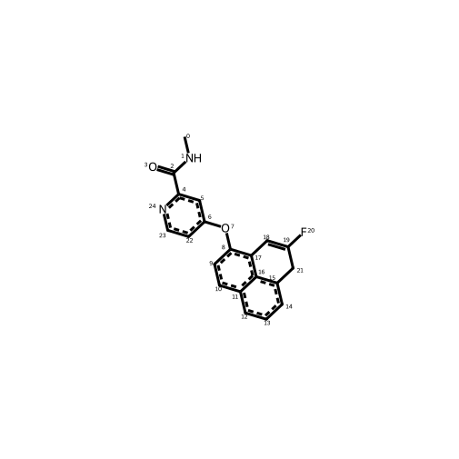 CNC(=O)c1cc(Oc2ccc3cccc4c3c2C=C(F)C4)ccn1